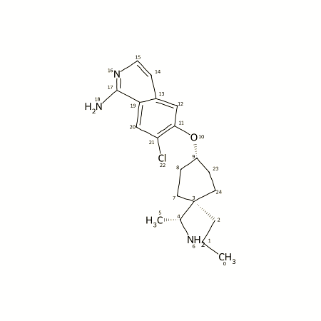 CCC[C@]1([C@@H](C)N)CC[C@H](Oc2cc3ccnc(N)c3cc2Cl)CC1